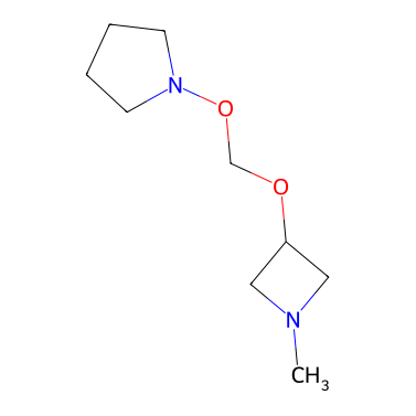 CN1CC(OCON2CCCC2)C1